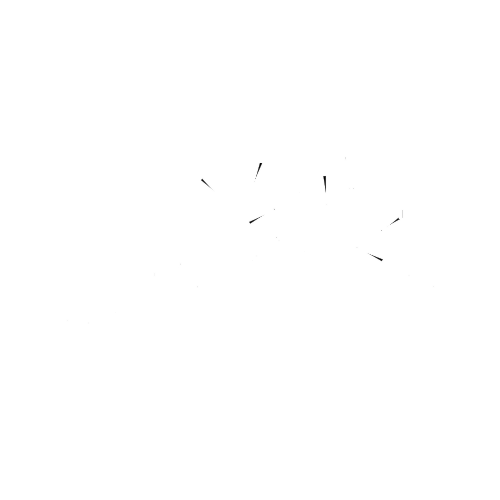 C[C@H](CCC(=O)OCC(F)(F)S(=O)(=O)O)[C@H]1CCC2[C@]1(C)C(=O)C[C@@H]1[C@@]3(C)CCC(=O)C[C@H]3CC(=O)[C@@]21C